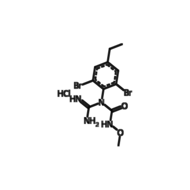 CCc1cc(Br)c(N(C(=N)N)C(=O)NOC)c(Br)c1.Cl